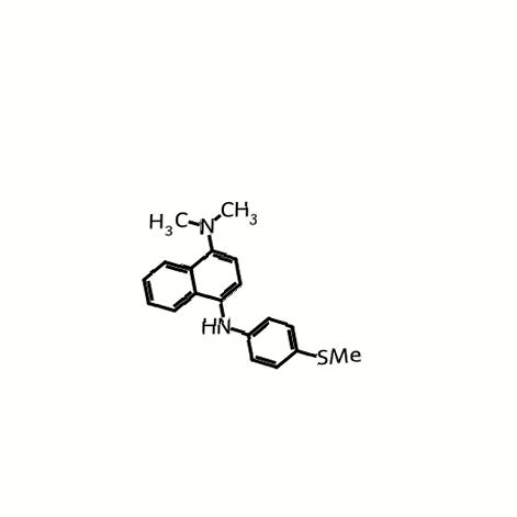 CSc1ccc(Nc2ccc(N(C)C)c3ccccc23)cc1